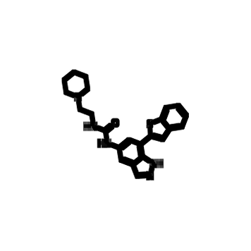 O=C(NCCN1CCCCC1)Nc1cc(-c2cc3ccccc3s2)c2[nH]ncc2c1